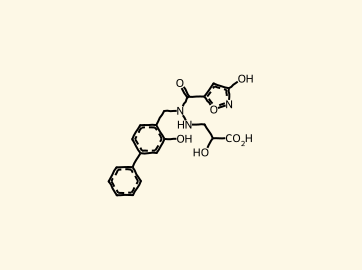 O=C(O)C(O)CNN(Cc1ccc(-c2ccccc2)cc1O)C(=O)c1cc(O)no1